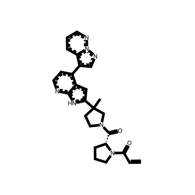 C=CC(=O)N1CCC[C@@H]1C(=O)N1CCC(C)(c2cc3c(-c4cnn5ncccc45)ccnc3[nH]2)C1